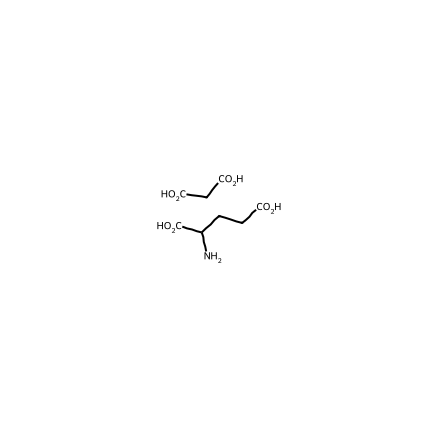 NC(CCC(=O)O)C(=O)O.O=C(O)CC(=O)O